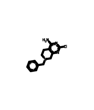 Nc1nc(Cl)nc2c1CCN(Cc1ccccc1)C2